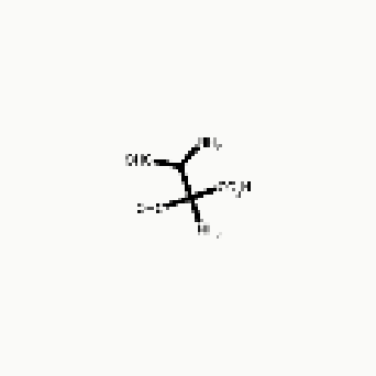 NC(C=O)C(N)(C=O)C(=O)O